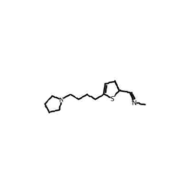 C/N=C/C1CC=C(CCCCN2CCCC2)S1